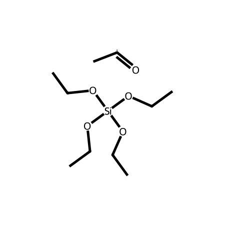 CCO[Si](OCC)(OCC)OCC.C[C]=O